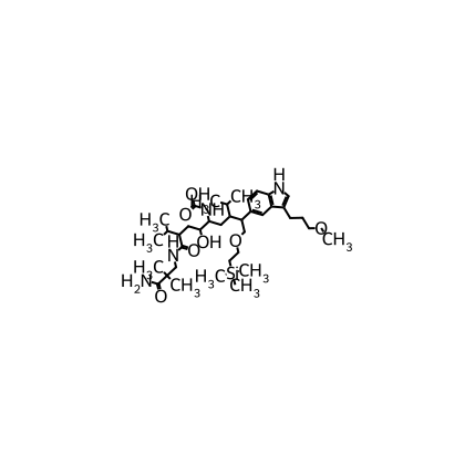 COCCCc1c[nH]c2ccc(C(COCC[Si](C)(C)C)C(CC(NC(=O)O)C(O)CC(C(=O)NCC(C)(C)C(N)=O)C(C)C)C(C)C)cc12